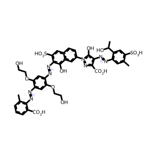 Cc1cc(/N=N/c2c(C(=O)O)nn(-c3ccc4cc(S(=O)(=O)O)c(/N=N/c5cc(OCCO)c(/N=N/c6c(C)cccc6C(=O)O)cc5OCCO)c(O)c4c3)c2O)c(C(C)O)cc1S(=O)(=O)O